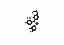 Cc1ccc(C(Nc2cc(C)c(Cl)cn2)c2ccc3cccnc3c2O)cc1